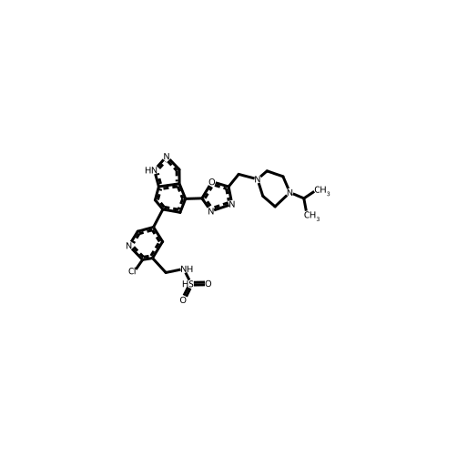 CC(C)N1CCN(Cc2nnc(-c3cc(-c4cnc(Cl)c(CN[SH](=O)=O)c4)cc4[nH]ncc34)o2)CC1